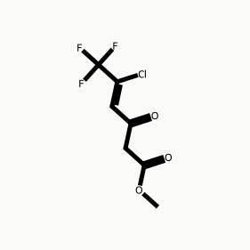 COC(=O)CC(=O)C=C(Cl)C(F)(F)F